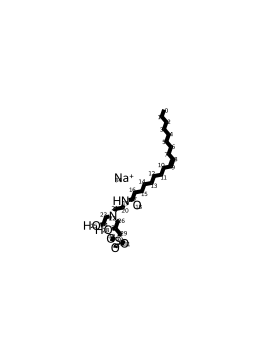 CCCCCCCC/C=C\CCCCCCCC(=O)NCCN(CCO)CC(O)CS(=O)(=O)[O-].[Na+]